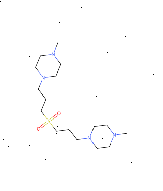 CN1CCN(CCCS(=O)(=O)CCCN2CCN(C)CC2)CC1